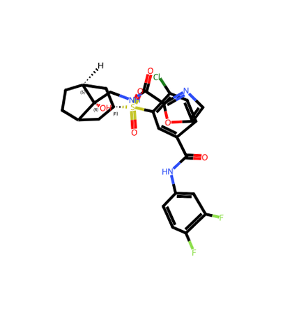 O=C(Nc1ccc(F)c(F)c1)c1ccc(Cl)c(S(=O)(=O)[C@@H]2CC3CC[C@@H](C2)[C@@]3(O)CNC(=O)c2ncco2)c1